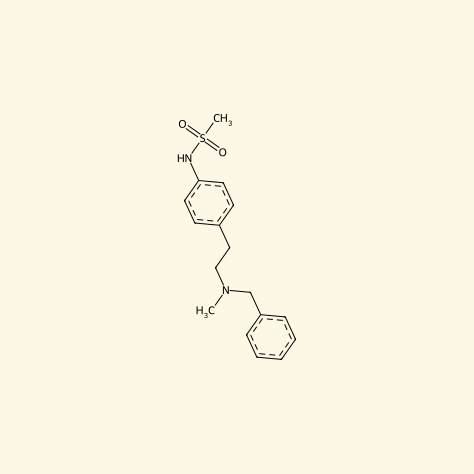 CN(CCc1ccc(NS(C)(=O)=O)cc1)Cc1ccccc1